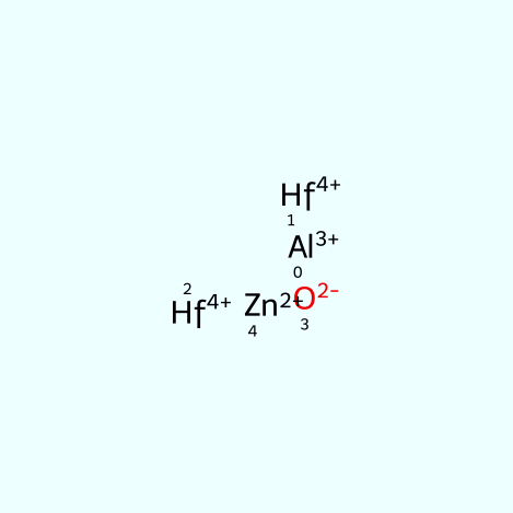 [Al+3].[Hf+4].[Hf+4].[O-2].[Zn+2]